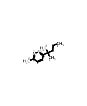 CCCC(C)(C)c1ccc(C)nn1